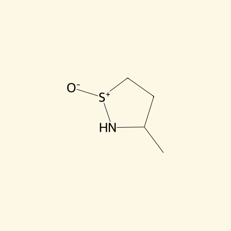 CC1CC[S+]([O-])N1